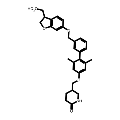 Cc1cc(OCC2CCC(=O)NC2)cc(C)c1-c1cccc(COc2ccc3c(c2)OCC3CC(=O)O)c1